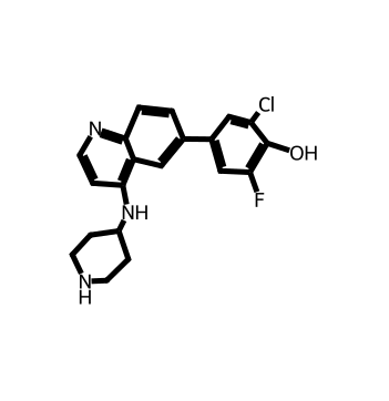 Oc1c(F)cc(-c2ccc3nccc(NC4CCNCC4)c3c2)cc1Cl